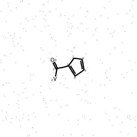 O=[C]([V])C1=CC=CC1